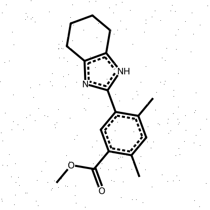 COC(=O)c1cc(-c2nc3c([nH]2)CCCC3)c(C)cc1C